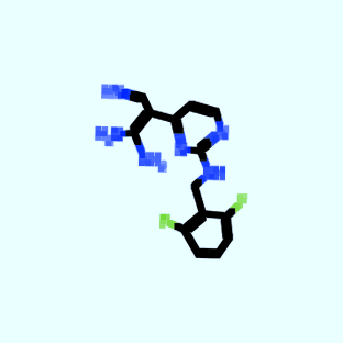 N=CC(=C(N)N)c1ccnc(NCc2c(F)cccc2F)n1